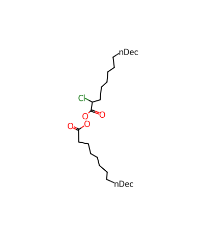 CCCCCCCCCCCCCCCCCC(=O)OOC(=O)C(Cl)CCCCCCCCCCCCCCCC